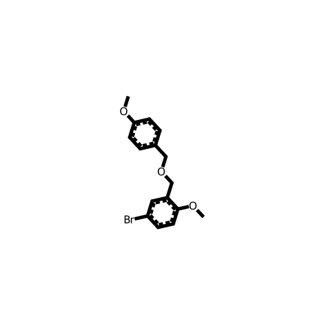 COc1ccc(COCc2cc(Br)ccc2OC)cc1